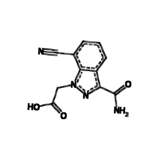 N#Cc1cccc2c(C(N)=O)nn(CC(=O)O)c12